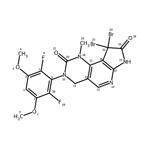 COc1cc(OC)c(F)c(N2Cc3cnc4c(c3N(C)C2=O)C(Br)(Br)C(=O)N4)c1F